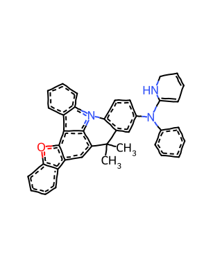 CC1(C)c2cc(N(C3=CC=CCN3)c3ccccc3)ccc2-n2c3ccccc3c3c4oc5ccccc5c4cc1c32